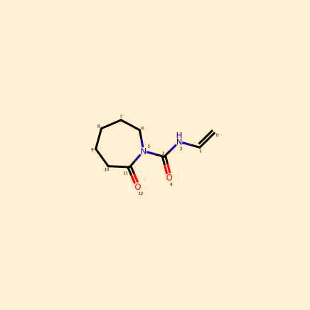 C=CNC(=O)N1CCCCCC1=O